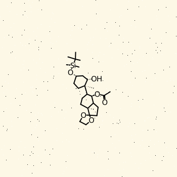 CC(=O)O[C@H]1C2CCC3(OCCO3)[C@@]2(C)CCC1[C@@]1(C)CC[C@H](O[Si](C)(C)C(C)(C)C)C[C@@H]1O